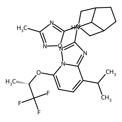 Cc1noc(N2CC3CCC(C2)C3Nc2nc3c(C(C)C)ccc(O[C@@H](C)C(F)(F)F)n3n2)n1